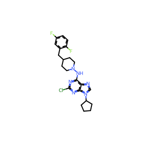 Fc1ccc(F)c(CC2CCN(Nc3nc(Cl)nc4c3ncn4C3CCCC3)CC2)c1